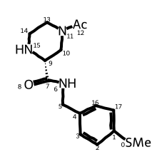 CSc1ccc(CNC(=O)[C@H]2CN(C(C)=O)CCN2)cc1